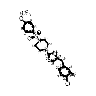 O=S(=O)(c1ccc(OC(F)(F)F)cc1)N1CCN(c2nc(Cc3ccc(Cl)c(F)c3)cs2)CC1